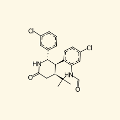 CC(C)(C)[C@H]1CC(=O)N[C@H](c2cccc(Cl)c2)[C@H]1c1ccc(Cl)cc1NC=O